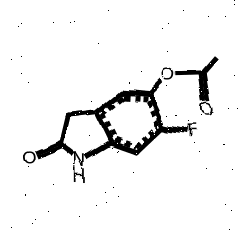 CC(=O)Oc1cc2c(cc1F)NC(=O)C2